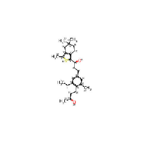 CCc1cc(CCC(=O)c2sc(C)c3c2CCC(C)(C)C3)cc(C)c1CCC(C)=O